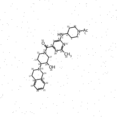 CC(=O)N1CCC(Nc2cc(C(=O)N3CCC(N4CCc5ccccc5C4)C(O)C3)nc(C)n2)CC1